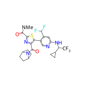 CNC(=O)c1nc(C(=O)N2C3CCC2CC3)c(-c2cnc(NC(C3CC3)C(F)(F)F)cc2C(F)F)s1